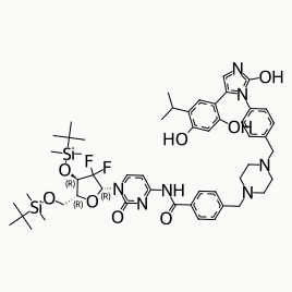 CC(C)c1cc(-c2cnc(O)n2-c2ccc(CN3CCN(Cc4ccc(C(=O)Nc5ccn([C@@H]6O[C@H](CO[Si](C)(C)C(C)(C)C)[C@@H](O[Si](C)(C)C(C)(C)C)C6(F)F)c(=O)n5)cc4)CC3)cc2)c(O)cc1O